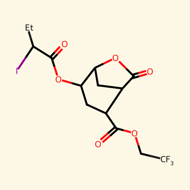 CCC(I)C(=O)OC1CC(C(=O)OCC(F)(F)F)C2CC1OC2=O